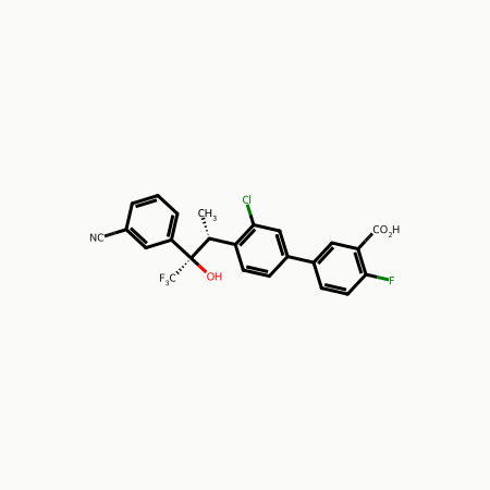 C[C@H](c1ccc(-c2ccc(F)c(C(=O)O)c2)cc1Cl)[C@@](O)(c1cccc(C#N)c1)C(F)(F)F